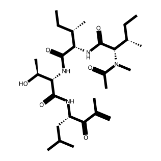 C=C(C)C(=O)[C@H](CC(C)C)NC(=O)[C@@H](NC(=O)[C@@H](NC(=O)[C@H]([C@@H](C)CC)N(C)C(C)=O)[C@@H](C)CC)[C@H](C)O